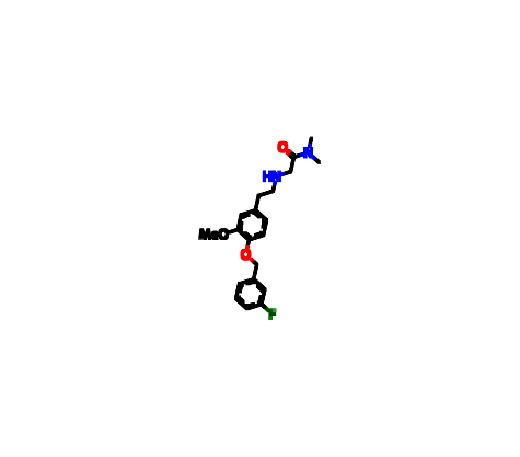 COc1cc(CCNCC(=O)N(C)C)ccc1OCc1cccc(F)c1